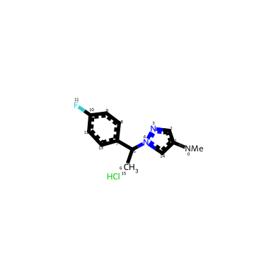 CNc1cnn(C(C)c2ccc(F)cc2)c1.Cl